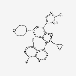 Fc1ccc(F)c2c(-n3c(C4CC4)nc4c(-c5cnc(Cl)[nH]5)cc(N5CCOCC5)cc43)ccnc12